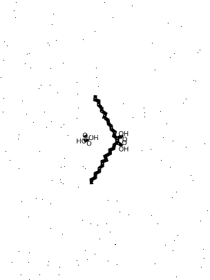 CCCCCCCCCCCCCC/C(C(=O)O)=C(\CCCCCCCCCCCCCC)C(=O)O.O=S(=O)(O)O